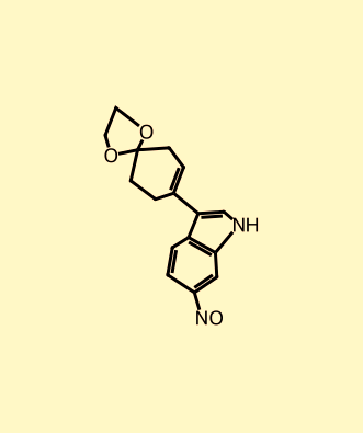 O=Nc1ccc2c(C3=CCC4(CC3)OCCO4)c[nH]c2c1